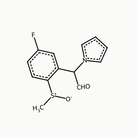 C[S+]([O-])c1ccc(F)cc1C(C=O)n1cccc1